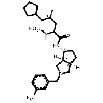 C[C@H](CC1CCCC1)CC(NC(=O)O)C(=O)N[C@@H]1CC[C@H]2CN(Cc3cccc(C(F)(F)F)c3)C[C@H]21